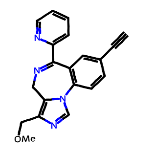 C#Cc1ccc2c(c1)C(c1ccccn1)=NCc1c(COC)ncn1-2